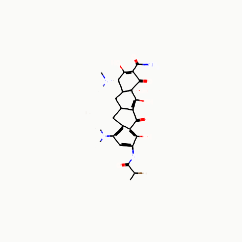 Br.CC(Br)C(=O)Nc1cc(N(C)C)c2c(c1O)C(=O)C1=C(O)[C@]3(O)C(=O)C(C(N)=O)=C(O)[C@@H](N(C)C)C3CC1C2